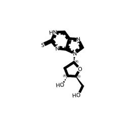 OC[C@@H]1O[C@@H](n2cnc3c[nH]c(=S)nc32)C[C@H]1O